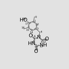 Cc1cc(Cn2c(=O)[nH]c(=O)[nH]c2=O)cc(C)c1O